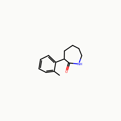 Cc1ccccc1C1CCCCNC1=O